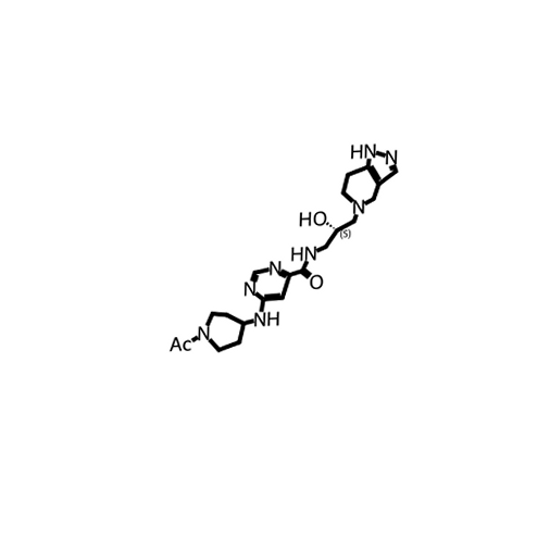 CC(=O)N1CCC(Nc2cc(C(=O)NC[C@H](O)CN3CCc4[nH]ncc4C3)ncn2)CC1